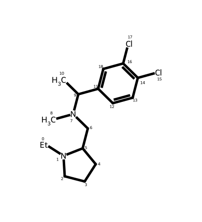 CCN1CCCC1CN(C)C(C)c1ccc(Cl)c(Cl)c1